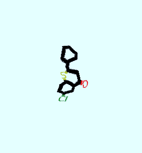 O=c1cc(-c2ccccc2)sc2ccc(Cl)cc12